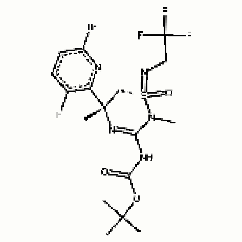 CN1C(NC(=O)OC(C)(C)C)=N[C@](C)(c2nc(Br)ccc2F)C[S@@]1(=O)=NCC(F)(F)F